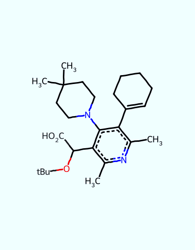 Cc1nc(C)c(C(OC(C)(C)C)C(=O)O)c(N2CCC(C)(C)CC2)c1C1=CCCCC1